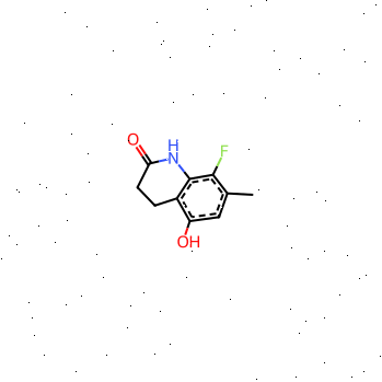 Cc1cc(O)c2c(c1F)NC(=O)CC2